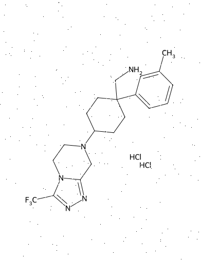 Cc1cccc(C2(CN)CCC(N3CCn4c(nnc4C(F)(F)F)C3)CC2)c1.Cl.Cl